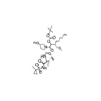 C=CCCCC[C@@H](COC)[C@H](OC(=O)OC(C)(C)C)C(=O)N1C[C@H](O)C[C@H]1C(=O)N[C@]1(C(=O)NS(=O)(=O)C2(C)CC2)C[C@H]1C=C